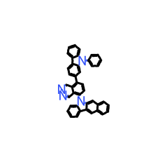 c1ccc(-n2c3ccccc3c3ccc(-c4ccc(-n5c6ccccc6c6cc7ccccc7cc65)c5cnncc45)cc32)cc1